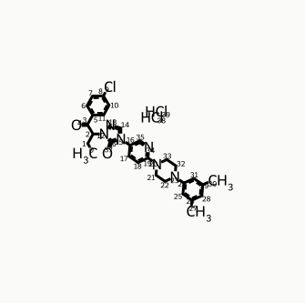 CCC(C(=O)c1ccc(Cl)cc1)n1ncn(-c2ccc(N3CCN(c4cc(C)cc(C)c4)CC3)nc2)c1=O.Cl.Cl